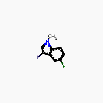 Cn1cc(I)c2cc(F)ccc21